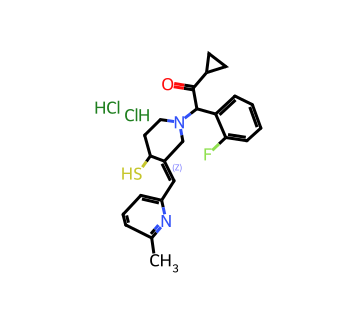 Cc1cccc(/C=C2/CN(C(C(=O)C3CC3)c3ccccc3F)CCC2S)n1.Cl.Cl